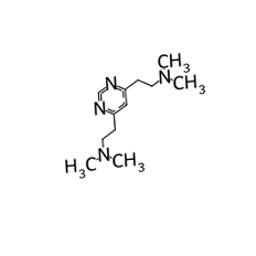 CN(C)CCc1cc(CCN(C)C)ncn1